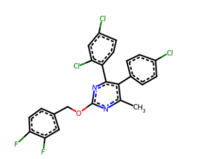 Cc1nc(OCc2ccc(F)c(F)c2)nc(-c2ccc(Cl)cc2Cl)c1-c1ccc(Cl)cc1